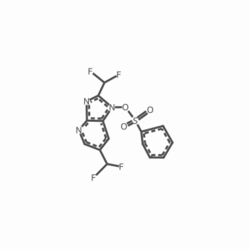 O=S(=O)(On1c(C(F)F)nc2ncc(C(F)F)cc21)c1ccccc1